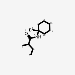 CCC(C)C(=O)NC1(Br)CCCCC1